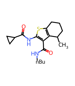 CCCCNC(=O)c1c(NC(=O)C2CC2)sc2c1C(C)CCC2